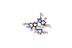 CCCC1Cc2cc(-n3nc(C)c4c3CC(C)(C)CC4=O)cc(NC3CCC(O)CC3)c2C(=O)N1